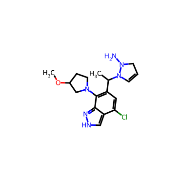 COC1CCN(c2c(C(C)N3C=CCN3N)cc(Cl)c3c[nH]nc23)C1